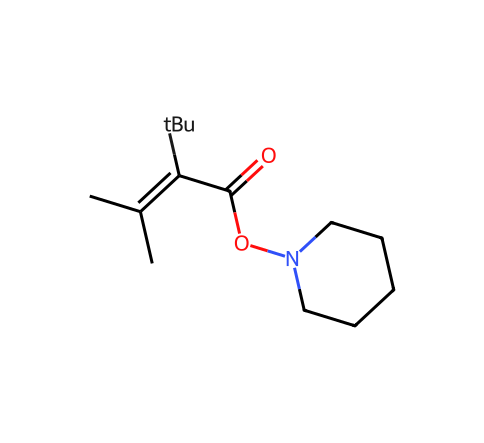 CC(C)=C(C(=O)ON1CCCCC1)C(C)(C)C